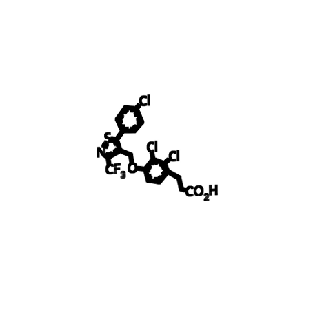 O=C(O)CCc1ccc(OCc2c(C(F)(F)F)nsc2-c2ccc(Cl)cc2)c(Cl)c1Cl